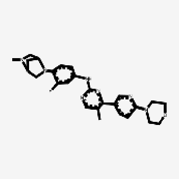 Cc1cnc(Nc2ccc(N3CC4CC3CN4C)c(F)c2)nc1-c1ccc(N2CCOCC2)nc1